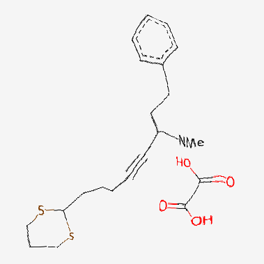 CNC(C#CCCC1SCCCS1)CCc1ccccc1.O=C(O)C(=O)O